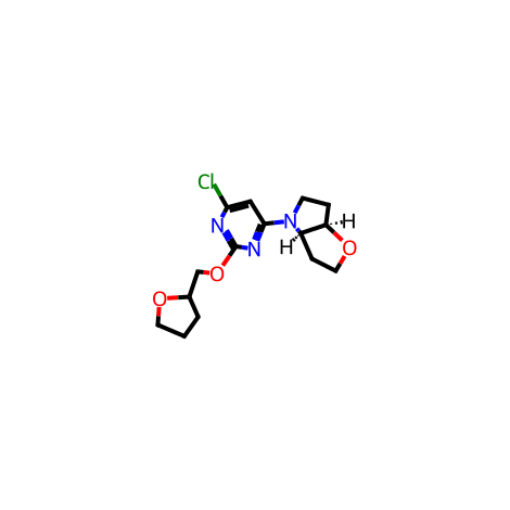 Clc1cc(N2CC[C@H]3OCC[C@H]32)nc(OCC2CCCO2)n1